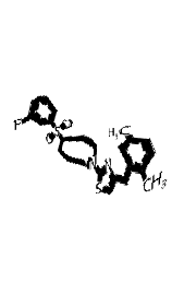 Cc1ccc(C)c(Cc2csc(N3CCC(S(=O)(=O)c4cccc(F)c4)CC3)n2)c1